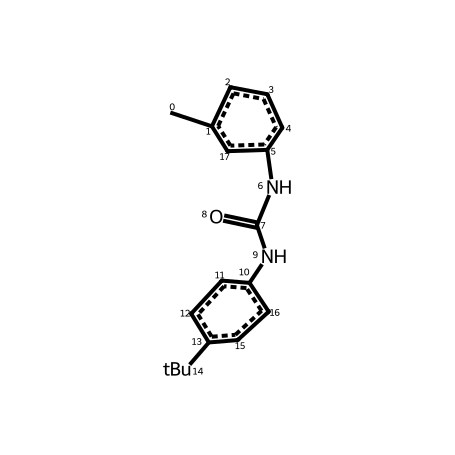 Cc1cccc(NC(=O)Nc2ccc(C(C)(C)C)cc2)c1